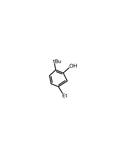 CCc1ccc(C(C)(C)C)c(O)c1